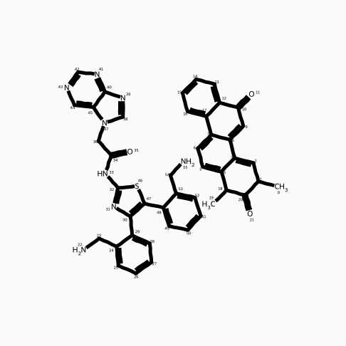 CC1C=c2c(ccc3c2=CC(=O)c2ccccc2-3)C(C)C1=O.NCc1ccccc1-c1nc(NC(=O)Cn2cnc3ncncc32)sc1-c1ccccc1CN